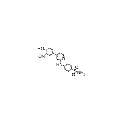 NS(=O)(=O)c1ccc(Nc2nccc(-c3ccc(O)c(N=O)c3)n2)cc1